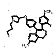 Nc1ccc2c(c1)CCCC(c1ccc(NC(F)(F)F)cc1F)=C2c1ccc(OC2CCN(CCCF)C2)cc1